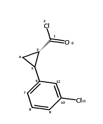 O=C(Cl)[C@H]1CC1c1cccc(Cl)c1